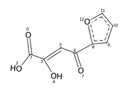 O=C(O)C(O)=CC(=O)c1ccco1